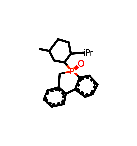 CC1CCC(C(C)C)C(P2(=O)Cc3ccccc3-c3ccccc32)C1